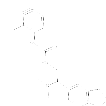 Cc1c#cccc1NC(=O)NCC(c1ccc2c(c1)CCO2)N(C)C